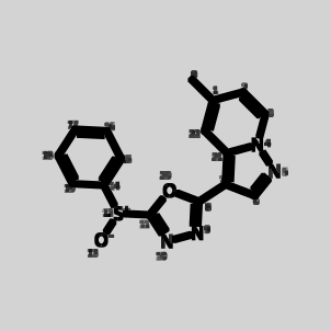 Cc1ccn2ncc(-c3nnc([S+]([O-])c4ccccc4)o3)c2c1